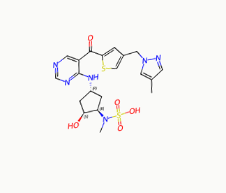 Cc1cnn(Cc2csc(C(=O)c3cncnc3N[C@@H]3C[C@@H](N(C)S(=O)(=O)O)[C@@H](O)C3)c2)c1